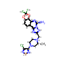 C[C@@H]1CN(c2nsnc2Cl)CCN1Cc1nc2c3ccc4c(c3nc(N)n2n1)OC(F)(F)O4